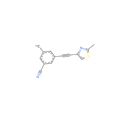 Cc1nc(C#Cc2cc([11CH3])cc(C#N)c2)cs1